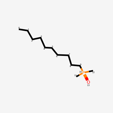 CCCCCCCCCCP(C)(C)=O